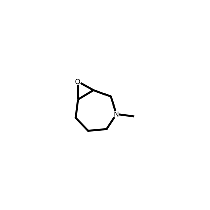 CN1CCCC2OC2C1